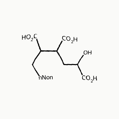 CCCCCCCCCCC(C(=O)O)C(CC(O)C(=O)O)C(=O)O